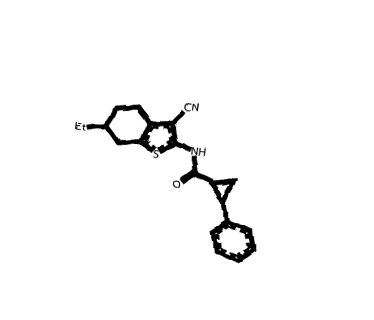 CCC1CCc2c(sc(NC(=O)C3CC3c3ccccc3)c2C#N)C1